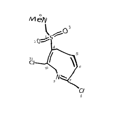 CNS(=O)(=O)c1ccc(Cl)nc1Cl